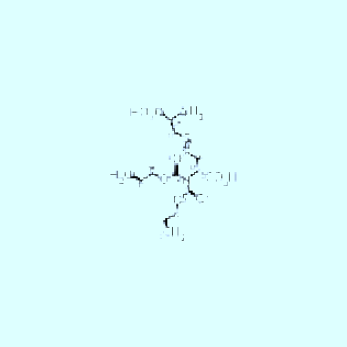 C=CCOC(=O)N(C(=O)OCC=C)[C@H](CSSCC(N)C(=O)O)C(=O)O